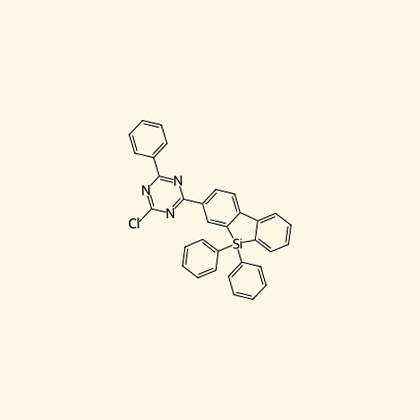 Clc1nc(-c2ccccc2)nc(-c2ccc3c(c2)[Si](c2ccccc2)(c2ccccc2)c2ccccc2-3)n1